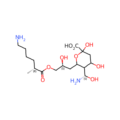 C[C@H](CCCCN)C(=O)OC[C@@H](O)CC1OC(O)(C(=O)O)CC(O)C1[C@@H](N)O